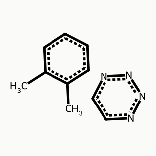 Cc1ccccc1C.c1cnnnn1